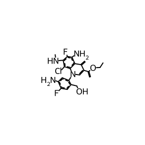 C=C(OCC)C1=CN(c2cc(N)c(F)cc2CO)c2c(Cl)c(NC)c(F)c(N)c2C1=C